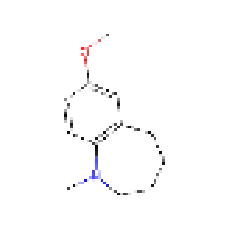 COc1ccc2c(c1)CCCCN2C